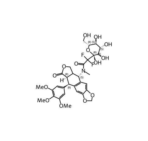 COc1cc([C@@H]2c3cc4c(cc3[C@@H](N(C)C(=O)C(F)(F)[C@]3(O)O[C@H](CO)[C@@H](O)[C@H](O)[C@H]3O)C3COC(=O)[C@@H]32)OCO4)cc(OC)c1OC